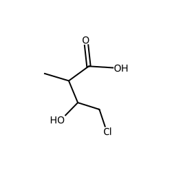 CC(C(=O)O)C(O)CCl